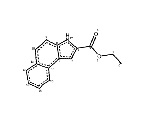 CCOC(=O)c1cc2c(ccc3ccccc32)[nH]1